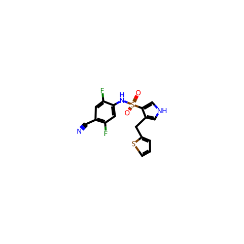 N#Cc1cc(F)c(NS(=O)(=O)c2c[nH]cc2Cc2cccs2)cc1F